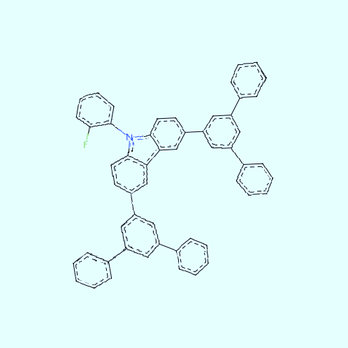 Fc1ccccc1-n1c2ccc(-c3cc(-c4ccccc4)cc(-c4ccccc4)c3)cc2c2cc(-c3cc(-c4ccccc4)cc(-c4ccccc4)c3)ccc21